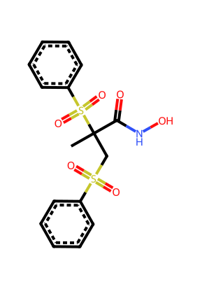 CC(CS(=O)(=O)c1ccccc1)(C(=O)NO)S(=O)(=O)c1ccccc1